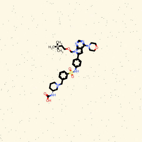 C[Si](C)(C)CCOCn1c(-c2ccc(NS(=O)(=O)c3cccc(CN4CCC[C@@H](NC(=O)O)C4)c3)cc2)cc2c(N3CCOCC3)ncnc21